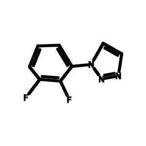 Fc1cccc(-n2ccnn2)c1F